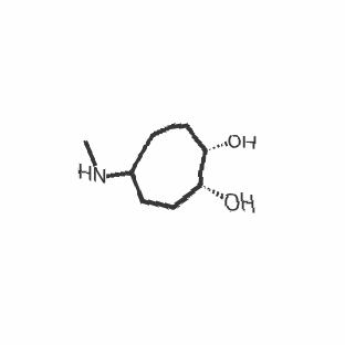 CNC1CC[C@@H](O)[C@@H](O)CC1